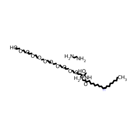 CCCCCCCC/C=C\CCCCCCCC(=O)C(CN)NC(CO)OCCOCCOCCOCCOCCOCCOCCOCCOCCOCCOCCO.NCCN